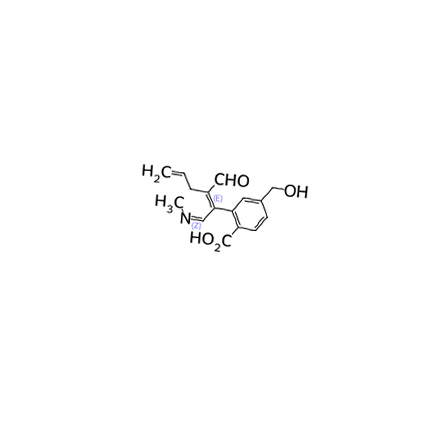 C=CC/C(C=O)=C(\C=N/C)c1cc(CO)ccc1C(=O)O